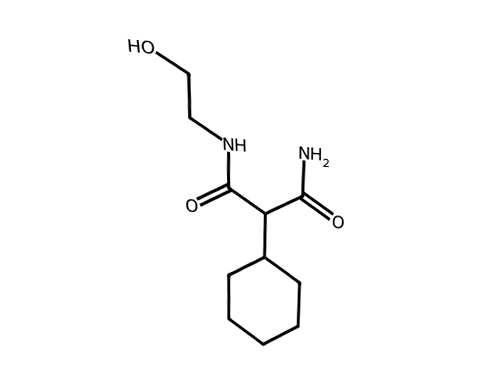 NC(=O)C(C(=O)NCCO)C1CCCCC1